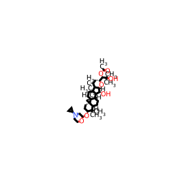 CC(=O)O[C@@H]([C@H]1C[C@@H](C)C2[C@H](O1)[C@H](O)[C@@]1(C)[C@@H]3CC[C@H]4C(C)(C)[C@@H](OC5CN(C6CC6)CCO5)CC[C@@]45C[C@@]35CC[C@]21C)C(C)(C)O